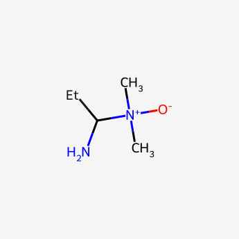 CCC(N)[N+](C)(C)[O-]